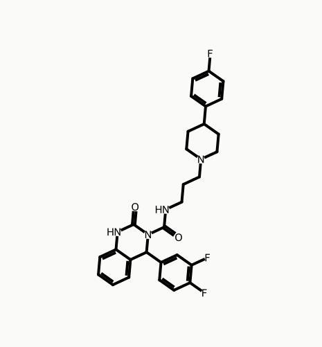 O=C(NCCCN1CCC(c2ccc(F)cc2)CC1)N1C(=O)Nc2ccccc2C1c1ccc(F)c(F)c1